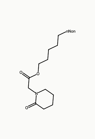 CCCCCCCCCCCCCCOC(=O)CN1CCCCC1=O